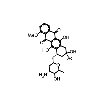 COc1cccc2c1C(=O)c1c(O)c3c(c(O)c1C2=O)C[C@@](O)(C(C)=O)C[C@@H]3C[C@@H]1C[C@@H](N)C(O)C(C)O1